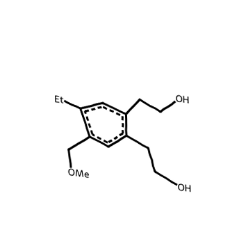 CCc1cc(CCO)c(CCO)cc1COC